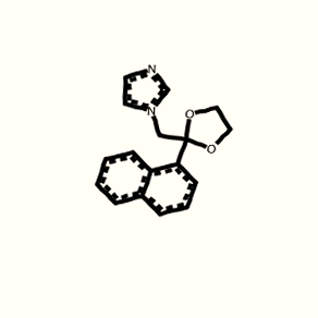 c1ccc2c(C3(Cn4ccnc4)OCCO3)cccc2c1